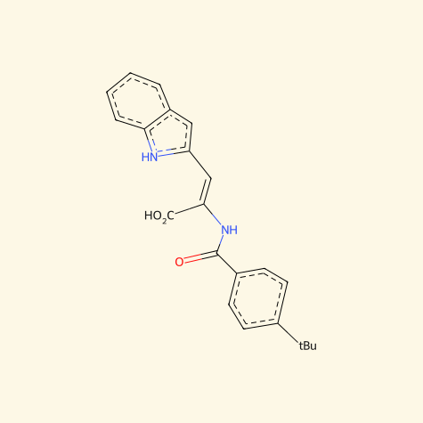 CC(C)(C)c1ccc(C(=O)N/C(=C/c2cc3ccccc3[nH]2)C(=O)O)cc1